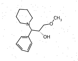 COC[C@H](O)C(c1ccccc1)N1CCCCC1